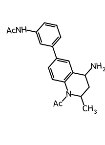 CC(=O)Nc1cccc(-c2ccc3c(c2)C(N)CC(C)N3C(C)=O)c1